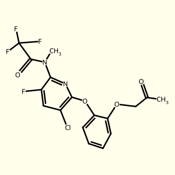 CC(=O)COc1ccccc1Oc1nc(N(C)C(=O)C(F)(F)F)c(F)cc1Cl